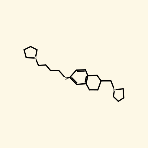 c1cc2c(cc1OCCCCN1CCCC1)CCC(CN1CCCC1)C2